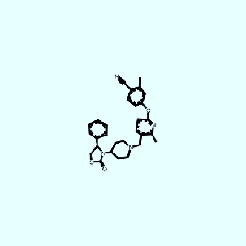 Cc1cc(Oc2ccc(CN3CCC(N4C(=O)OC[C@H]4c4ccccc4)CC3)c(C)n2)ccc1C#N